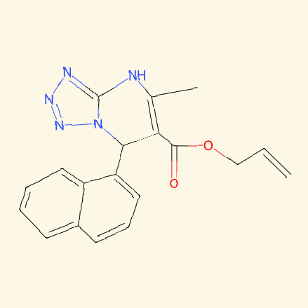 C=CCOC(=O)C1=C(C)Nc2nnnn2C1c1cccc2ccccc12